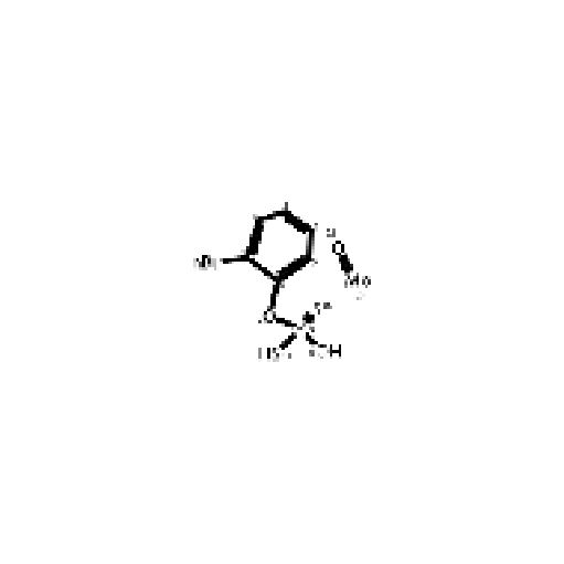 CCCCc1ccccc1OP(O)(=S)S.[O]=[Mo]